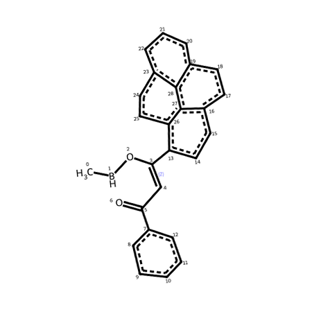 CBO/C(=C\C(=O)c1ccccc1)c1ccc2ccc3cccc4ccc1c2c34